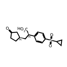 O=C1CC[C@H](C[C@@H](C(=O)O)c2ccc(S(=O)(=O)C3CC3)cc2)C1